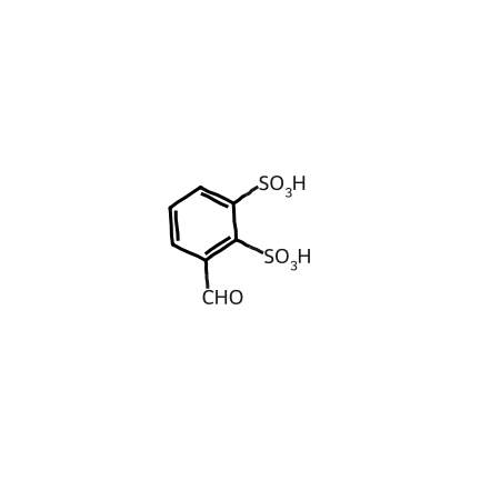 O=Cc1cccc(S(=O)(=O)O)c1S(=O)(=O)O